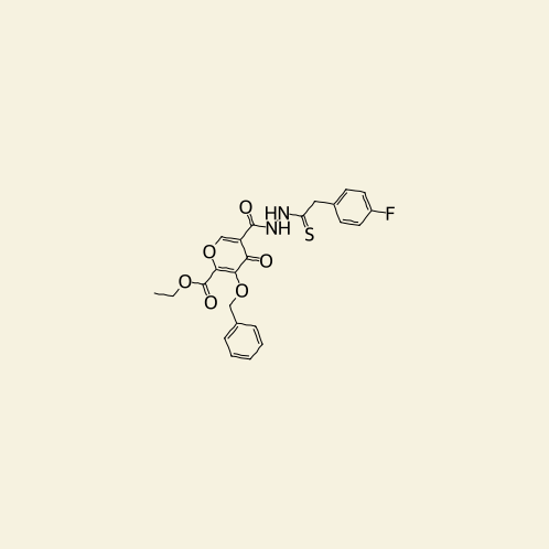 CCOC(=O)c1occ(C(=O)NNC(=S)Cc2ccc(F)cc2)c(=O)c1OCc1ccccc1